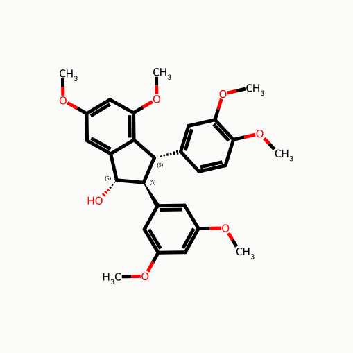 COc1cc(OC)cc([C@@H]2[C@@H](c3ccc(OC)c(OC)c3)c3c(OC)cc(OC)cc3[C@H]2O)c1